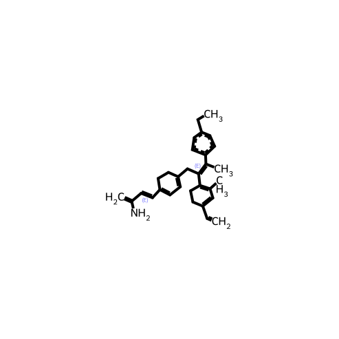 C=CC1=CC(C)=C(/C(CC2=CC=C(/C=C/C(=C)N)CC2)=C(\C)c2ccc(CC)cc2)CC1